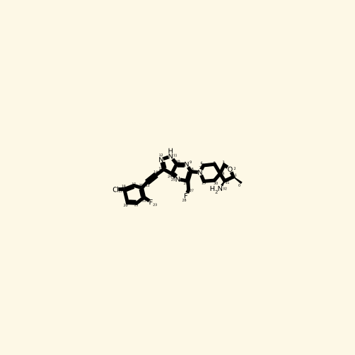 C[C@@H]1OCC2(CCN(c3nc4[nH]nc(C#Cc5cc(Cl)ccc5F)c4nc3CF)CC2)[C@@H]1N